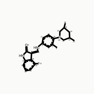 Cc1cc(NC=C2C(=O)Nc3cccc(F)c32)ccc1N1CC(C)CC(C)C1